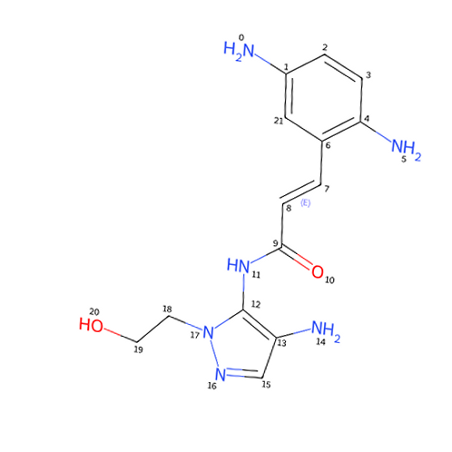 Nc1ccc(N)c(/C=C/C(=O)Nc2c(N)cnn2CCO)c1